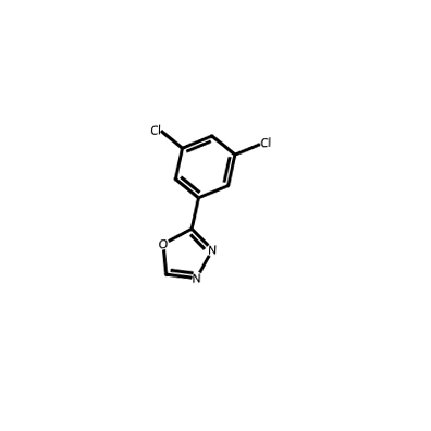 Clc1cc(Cl)cc(-c2nnco2)c1